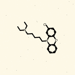 CCN(CC)CCCCCN1c2ccccc2Oc2ccc(Cl)cc21